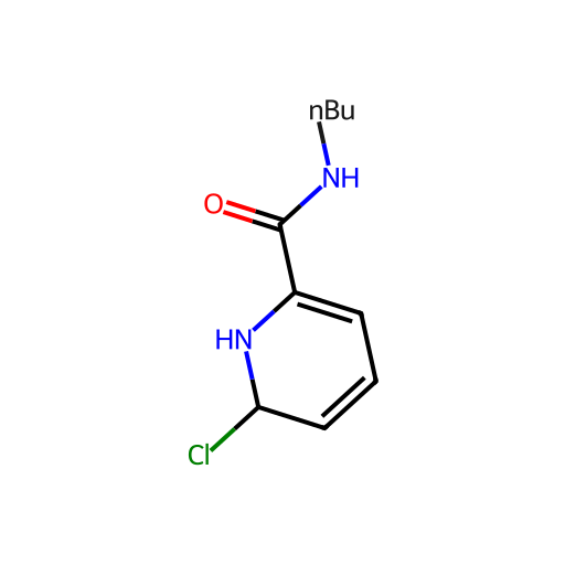 CCCCNC(=O)C1=CC=CC(Cl)N1